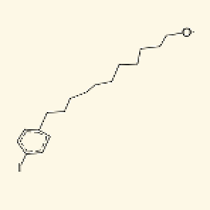 [O]CCCCCCCCCCCc1ccc(I)cc1